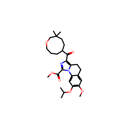 COC(=O)c1nc(C(=O)C2CCCOCC(C)(C)CC2)c2n1-c1cc(OC(C)C)c(OC)cc1CC2